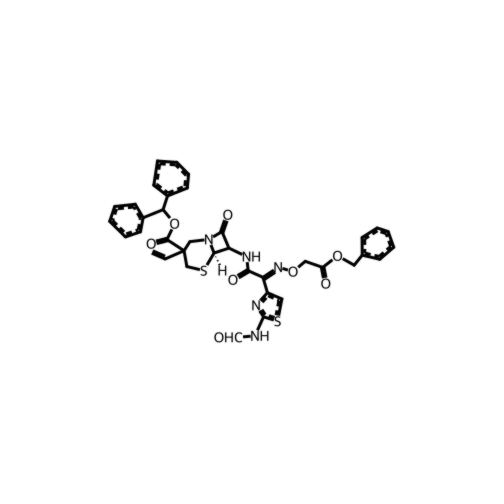 C=CC1(C(=O)OC(c2ccccc2)c2ccccc2)CS[C@@H]2C(NC(=O)C(=NOCC(=O)OCc3ccccc3)c3csc(NC=O)n3)C(=O)N2C1